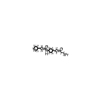 CC(C)CCC(=O)N1CC(c2ccc(NC(=O)N3CC(c4cccnc4)C3)cc2)C1